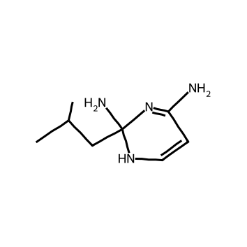 CC(C)CC1(N)N=C(N)C=CN1